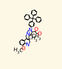 COc1cccc2c(CN3CN(c4ccc(C(c5ccccc5)(c5ccccc5)c5ccccc5)cc4)C(C(=O)C=O)C3(C)C)ccnc12